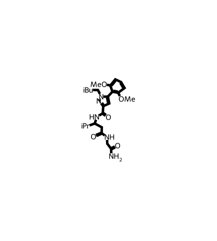 CCC(C)Cn1nc(C(=O)NC(CC(=O)NCC(N)=O)C(C)C)cc1-c1c(OC)cccc1OC